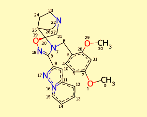 COc1ccc(CN2C(c3cc4ccccn4n3)=NO[C@@]23CN2CCC3CC2)c(OC)c1